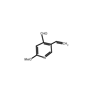 C=Cc1cnc(OC)cc1C=O